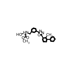 COC(=O)[C@H](CO)NCc1cccc(-c2nnc(-c3cccc(-c4ccccc4)c3C)o2)c1